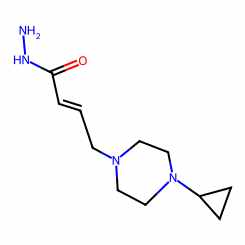 NNC(=O)/C=C/CN1CCN(C2CC2)CC1